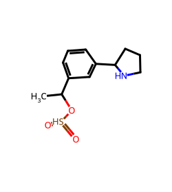 CC(O[SH](=O)=O)c1cccc(C2CCCN2)c1